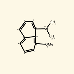 COc1cccc2ccc[c]([Al]([CH3])[CH3])c12